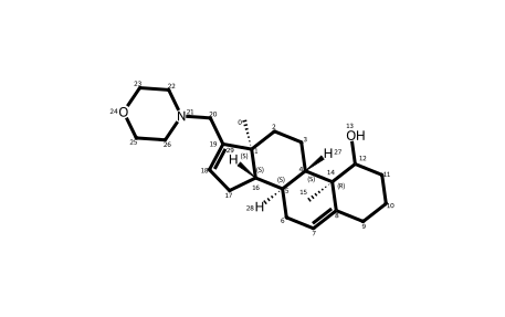 C[C@]12CC[C@H]3[C@@H](CC=C4CCCC(O)[C@@]43C)[C@@H]1CC=C2CN1CCOCC1